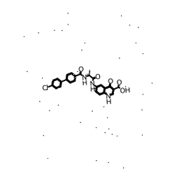 C[C@H](NC(=O)c1ccc(-c2ccc(Cl)cc2)cc1)C(=O)Nc1ccc2[nH]cc(C(=O)O)c(=O)c2c1